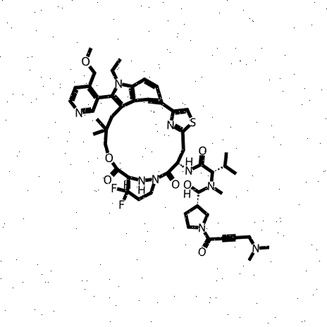 CCn1c(-c2cnccc2COC)c2c3cc(ccc31)-c1csc(n1)C[C@H](NC(=O)[C@H](C(C)C)N(C)C(O)[C@H]1CCN(C(=O)C#CCN(C)C)C1)C(=O)N1CCC(F)(F)[C@H](N1)C(=O)OCC(C)(C)C2